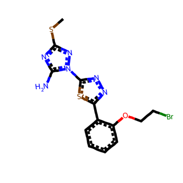 CSc1nc(N)n(-c2nnc(-c3ccccc3OCCBr)s2)n1